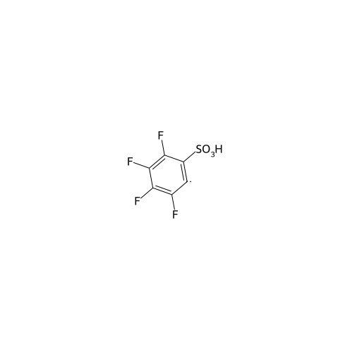 O=S(=O)(O)c1[c]c(F)c(F)c(F)c1F